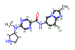 Cc1cn2cc(NC(=O)c3cnc(N(C)C4CCNC4)cn3)cc(F)c2n1